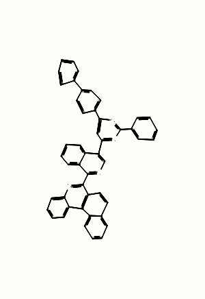 c1ccc(-c2ccc(-c3cc(-c4cnc(-c5nc6ccccc6c6c5ccc5ccccc56)c5ccccc45)nc(-c4ccccc4)n3)cc2)cc1